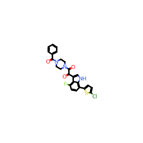 O=C(C(=O)N1CCN(C(=O)c2ccccc2)CC1)c1c[nH]c2c(-c3ccc(Cl)s3)ccc(F)c12